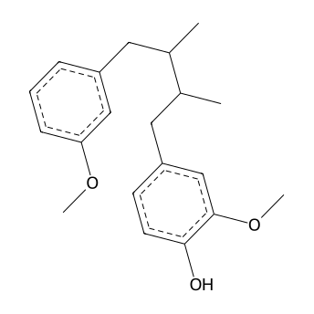 COc1cccc(CC(C)C(C)Cc2ccc(O)c(OC)c2)c1